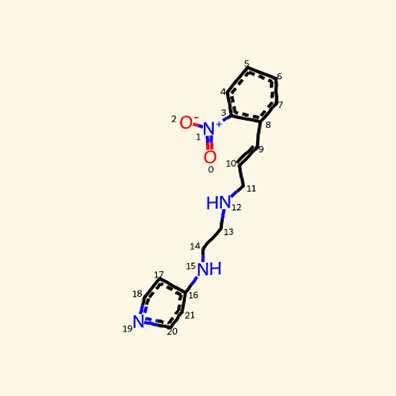 O=[N+]([O-])c1ccccc1/C=C/CNCCNc1ccncc1